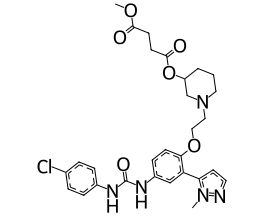 COC(=O)CCC(=O)OC1CCCN(CCOc2ccc(NC(=O)Nc3ccc(Cl)cc3)cc2-c2ccnn2C)C1